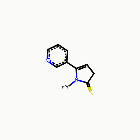 CCCN1C(=S)CC=C1c1cccnc1